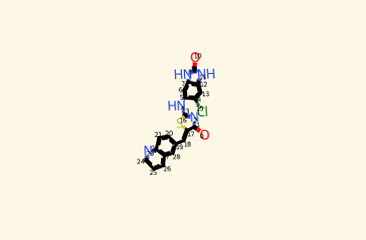 O=C1N=C(Nc2cc3[nH]c(=O)[nH]c3cc2Cl)S/C1=C\c1ccc2ncccc2c1